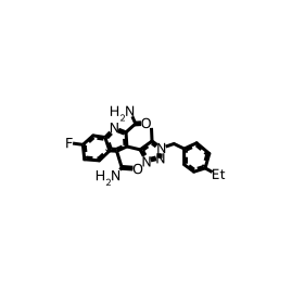 CCc1ccc(Cn2nnc(-c3c(C(N)=O)nc4cc(F)ccc4c3C(N)=O)c2C)cc1